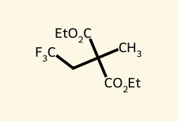 CCOC(=O)C(C)(CC(F)(F)F)C(=O)OCC